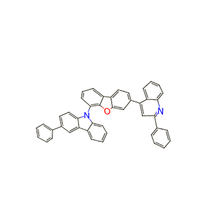 c1ccc(-c2ccc3c(c2)c2ccccc2n3-c2cccc3c2oc2cc(-c4cc(-c5ccccc5)nc5ccccc45)ccc23)cc1